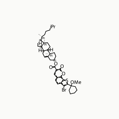 COC1(c2sc3c(ccc4cc(C(=O)O[C@H]5CC[C@@]6(C)C(=CC[C@H]7[C@@H]8CC[C@H]([C@H](C)CCCC(C)C)[C@@]8(C)CC[C@@H]76)C5)c(=O)oc43)c2Br)CCCCC1